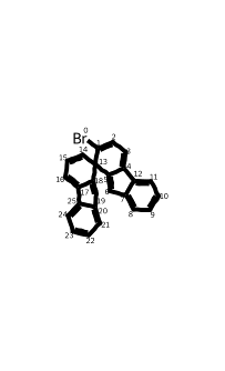 BrC1=CC=C2C(=Cc3ccccc32)C12C=CC=C1C2=Cc2ccccc21